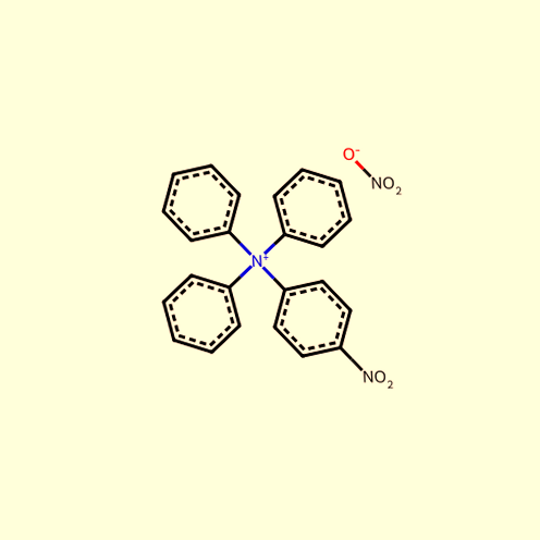 O=[N+]([O-])[O-].O=[N+]([O-])c1ccc([N+](c2ccccc2)(c2ccccc2)c2ccccc2)cc1